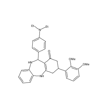 CCN(CC)c1ccc(C2Nc3ccccc3NC3=C2C(=O)CC(c2cccc(OC)c2OC)C3)cc1